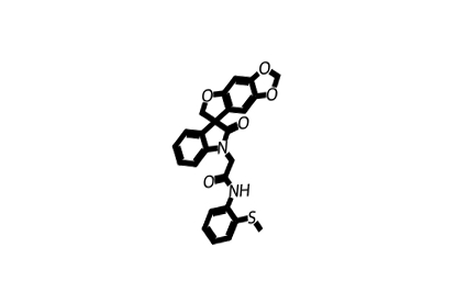 CSc1ccccc1NC(=O)CN1C(=O)C2(COc3cc4c(cc32)OCO4)c2ccccc21